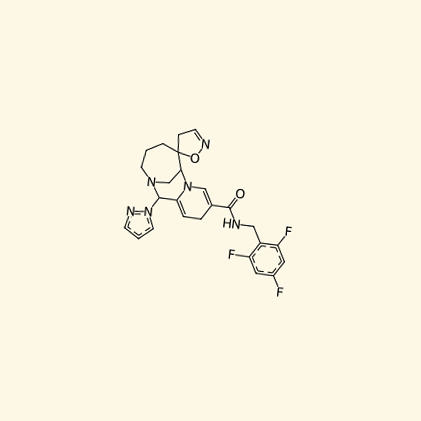 O=C(NCc1c(F)cc(F)cc1F)C1=CN2C(=CC1)C(n1cccn1)N1CCCC3(CC=NO3)C2C1